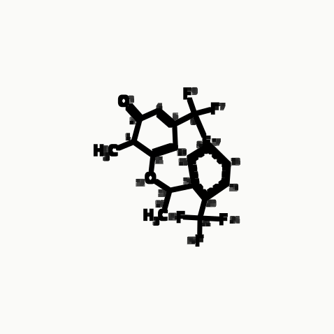 CC1C(=O)C=C(C(F)(F)F)C=C1OC(C)c1ccccc1C(F)(F)F